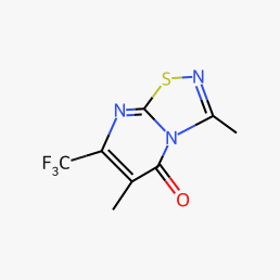 Cc1c(C(F)(F)F)nc2snc(C)n2c1=O